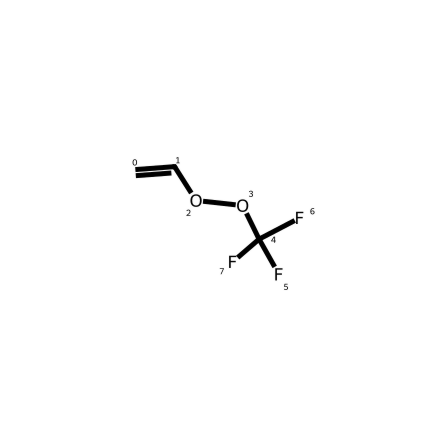 C=COOC(F)(F)F